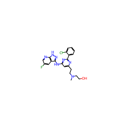 CN(CCO)CCc1cc(Nc2n[nH]c3ncc(F)cc23)nc(-c2ccccc2Cl)n1